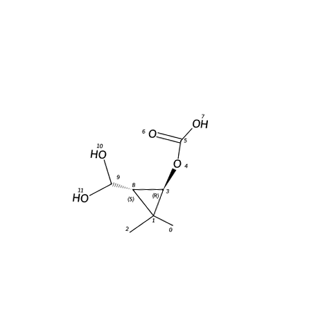 CC1(C)[C@H](OC(=O)O)[C@H]1C(O)O